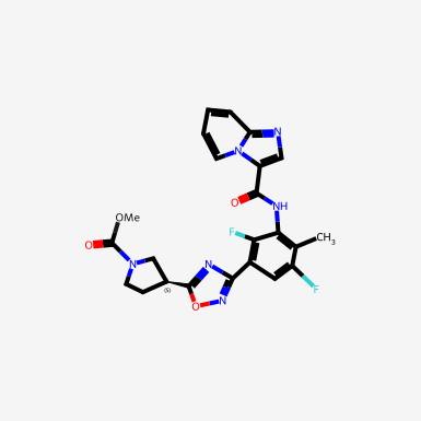 COC(=O)N1CC[C@H](c2nc(-c3cc(F)c(C)c(NC(=O)c4cnc5ccccn45)c3F)no2)C1